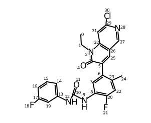 CCn1c(=O)c(-c2cc(NC(=O)Nc3cccc(F)c3)c(F)cc2C)cc2cnc(Cl)cc21